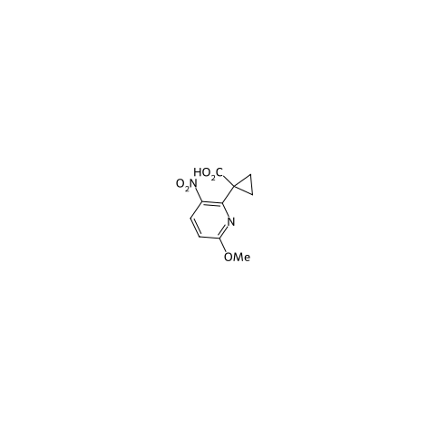 COc1ccc([N+](=O)[O-])c(C2(C(=O)O)CC2)n1